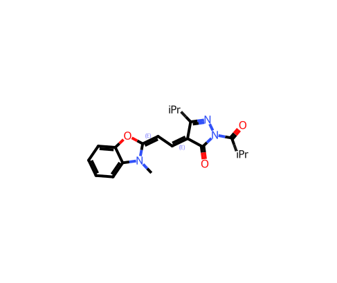 CC(C)C(=O)N1N=C(C(C)C)/C(=C\C=C2\Oc3ccccc3N2C)C1=O